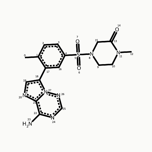 Cc1ccc(S(=O)(=O)N2CCN(C)C(=O)C2)cc1-c1cnc2c(N)ncnn12